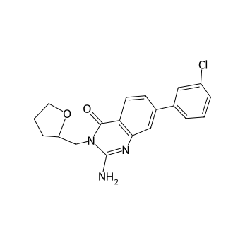 Nc1nc2cc(-c3cccc(Cl)c3)ccc2c(=O)n1CC1CCCO1